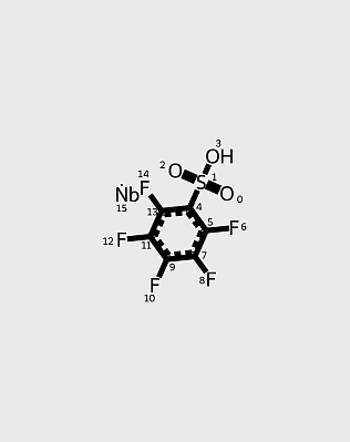 O=S(=O)(O)c1c(F)c(F)c(F)c(F)c1F.[Nb]